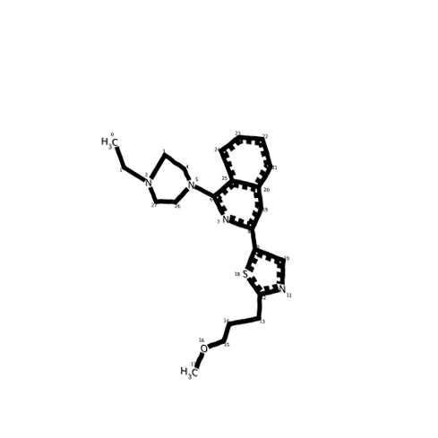 CCN1CCN(c2nc(-c3cnc(CCCOC)s3)cc3ccccc23)CC1